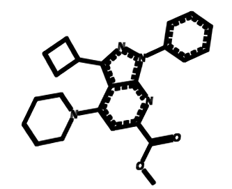 COC(=O)c1cc(N2CCCCC2)c2c(C3CCC3)nn(-c3ccccc3)c2n1